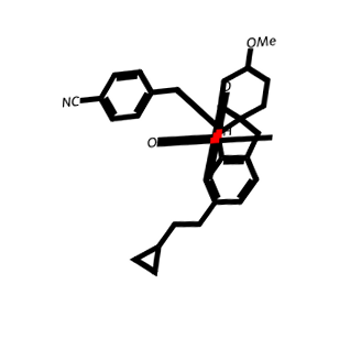 COC1CCC2(CC1)Cc1ccc(CCC3CC3)cc1C21NC(=O)N(Cc2ccc(C#N)cc2)C1=O